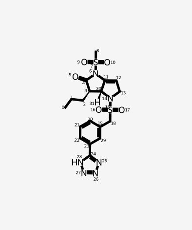 CCC[C@H]1C(=O)N(S(C)(=O)=O)C2=CCN(S(=O)(=O)Cc3cccc(-c4nnn[nH]4)c3)[C@@H]21